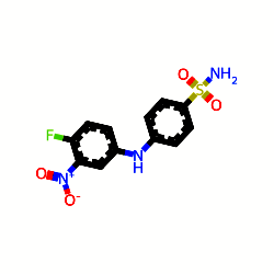 NS(=O)(=O)c1ccc(Nc2ccc(F)c([N+](=O)[O-])c2)cc1